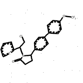 O=C1CCC(c2ccc(-c3ccc(OC(F)(F)F)cc3)cc2)N1C(CCl)c1ccccc1